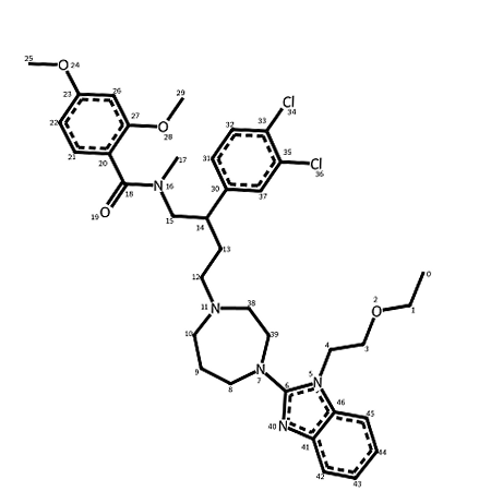 CCOCCn1c(N2CCCN(CCC(CN(C)C(=O)c3ccc(OC)cc3OC)c3ccc(Cl)c(Cl)c3)CC2)nc2ccccc21